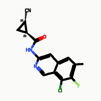 Cc1cc2cc(NC(=O)[C@H]3C[C@@H]3C#N)ncc2c(Cl)c1F